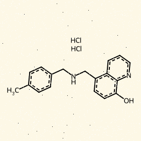 Cc1ccc(CNCc2ccc(O)c3ncccc23)cc1.Cl.Cl